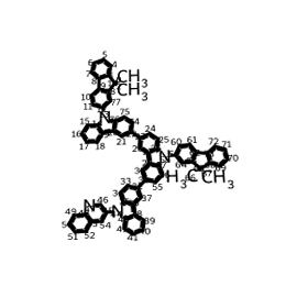 CC1(C)c2ccccc2-c2ccc(-n3c4ccccc4c4cc(-c5ccc6c(c5)c5cc(-c7ccc8c(c7)c7ccccc7n8-c7cnc8ccccc8c7)ccc5n6-c5ccc6c(c5)C(C)(C)c5ccccc5-6)ccc43)cc21